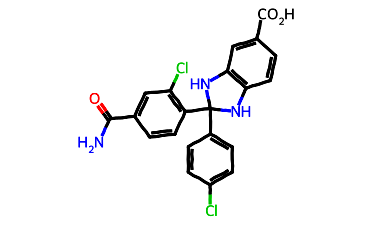 NC(=O)c1ccc(C2(c3ccc(Cl)cc3)Nc3ccc(C(=O)O)cc3N2)c(Cl)c1